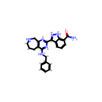 NC(=O)c1cccc2c(-c3nc4c(c(NCc5ccccc5)n3)CCCNC4)n[nH]c12